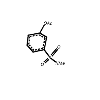 CNS(=O)(=O)c1cccc(OC(C)=O)c1